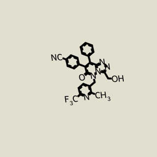 Cc1nc(C(F)(F)F)ccc1Cn1c(=O)c(-c2ccc(C#N)cc2)c(-c2ccccc2)c2nnc(CO)n21